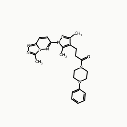 Cc1nn(-c2ccc3nnc(C)n3n2)c(C)c1CCC(=O)N1CCN(c2ccccc2)CC1